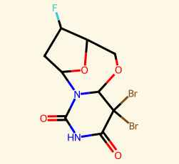 O=C1NC(=O)C(Br)(Br)C2OCC3OC(CC3F)N12